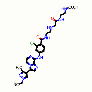 N#CCn1cc(-c2cnc3c(Nc4ccc(C(=O)NCCNCC(=O)NCCNC(=O)O)c(Cl)c4)nccn23)c(C(F)(F)F)n1